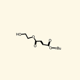 CCCCOC(=O)/C=C/C(=O)OCCO